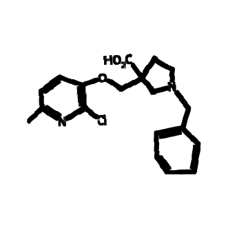 Cc1ccc(OCC2(C(=O)O)CCN(Cc3ccccc3)C2)c(Cl)n1